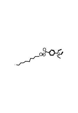 [CH2]CCCCCCCCCOOC(=O)c1ccc([Si](C=C)(C=C)CC)cc1